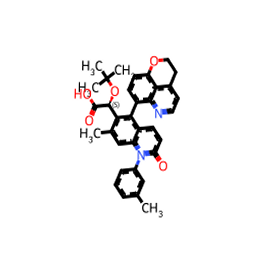 Cc1cccc(-n2c(=O)ccc3c(-c4ccc5c6c(ccnc46)CCO5)c([C@H](OC(C)(C)C)C(=O)O)c(C)cc32)c1